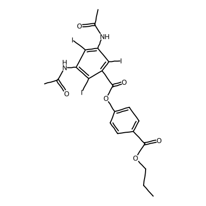 CCCOC(=O)c1ccc(OC(=O)c2c(I)c(NC(C)=O)c(I)c(NC(C)=O)c2I)cc1